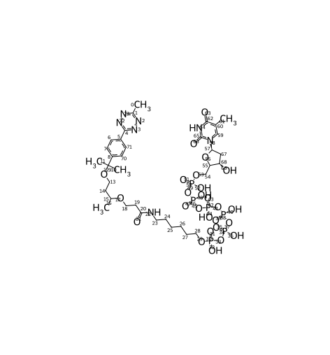 Cc1nnc(-c2ccc(C(C)(C)OCCC(C)OCCC(=O)NCCCCCCOP(=O)(O)OP(=O)(O)OP(=O)(O)OP(=O)(O)OP(=O)(O)OP(=O)(O)OCC3O[C@@H](n4cc(C)c(=O)[nH]c4=O)C[C@H]3O)cc2)nn1